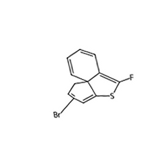 FC1=C2C=CC=CC23CC=C(Br)C=C3S1